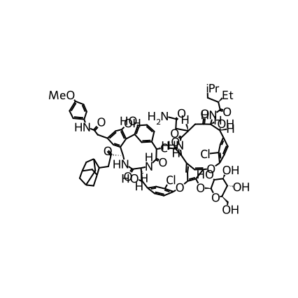 CC[C@H](CC(C)C)C(=O)N[C@H]1C(=O)C[C@@H](CC(N)=O)C(=O)N[C@H]2C(=O)C[C@H]3C(=O)N[C@H](C(=O)N[C@H](C(=O)CC4C5CC6CC(C5)CC4C6)c4cc(CC(=O)Nc5ccc(OC)cc5)cc(O)c4-c4cc3ccc4O)[C@H](O)c3ccc(c(Cl)c3)Oc3cc2cc(c3O[C@@H]2O[C@H](CO)[C@@H](O)[C@H](O)[C@H]2O)Oc2ccc(cc2Cl)[C@H]1O